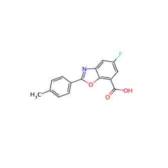 Cc1ccc(-c2nc3cc(F)cc(C(=O)O)c3o2)cc1